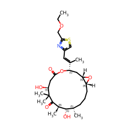 CCOCc1nc(C=C(C)[C@@H]2C[C@@H]3O[C@@H]3CCC[C@H](C)[C@H](O)[C@@H](C)C(=O)C(C)(C)[C@@H](O)CC(=O)O2)cs1